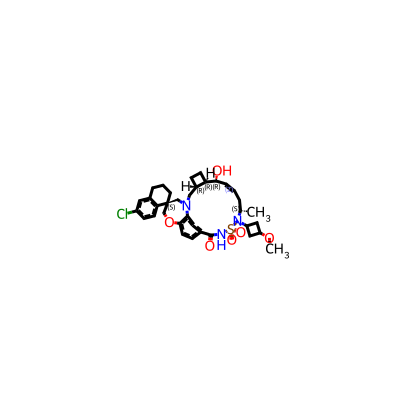 COC1CC(N2[C@@H](C)C/C=C\[C@H](O)[C@@H]3CC[C@H]3CN3C[C@@]4(CCCc5cc(Cl)ccc54)COc4ccc(cc43)C(=O)NS2(=O)=O)C1